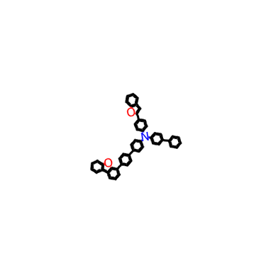 c1ccc(-c2ccc(N(c3ccc(-c4ccc(-c5cccc6c5oc5ccccc56)cc4)cc3)c3ccc(-c4cc5ccccc5o4)cc3)cc2)cc1